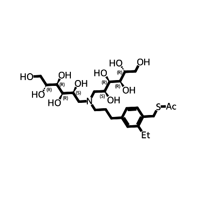 CCc1cc(CCCN(C[C@H](O)[C@@H](O)[C@H](O)[C@H](O)CO)C[C@H](O)[C@@H](O)[C@H](O)[C@H](O)CO)ccc1CSC(C)=O